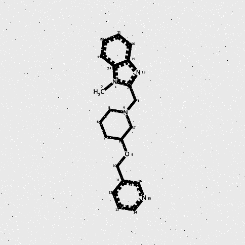 Cn1c(CN2CCCC(OCc3cccnc3)C2)nc2ccccc21